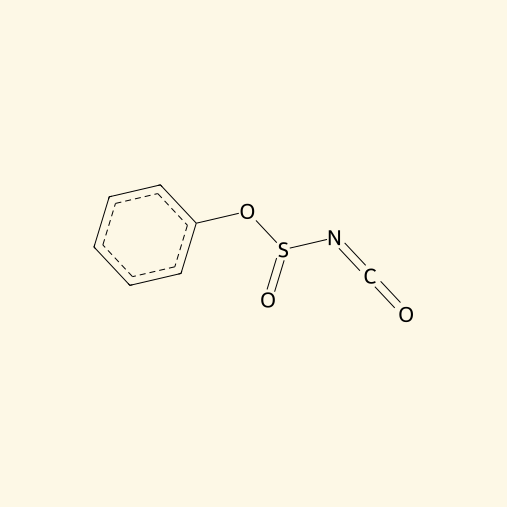 O=C=NS(=O)Oc1ccccc1